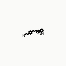 N#CCCc1ccc(CCCCCC2(C(=O)O)CCCCC2)cc1